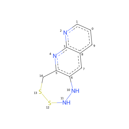 c1cnc2nc3c(cc2c1)NNSSC3